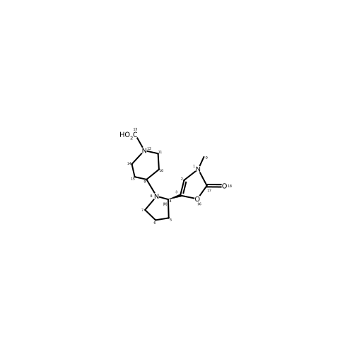 Cn1cc([C@H]2CCCN2C2CCN(C(=O)O)CC2)oc1=O